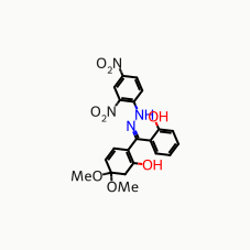 COC1(OC)C=CC(C(=NNc2ccc([N+](=O)[O-])cc2[N+](=O)[O-])c2ccccc2O)=C(O)C1